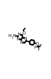 CCOc1nc(N)nc2ncc(-c3ccc(OC(F)(F)F)cc3)nc12